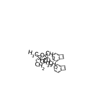 C1=Cc2ccccc21.C1=Cc2ccccc21.C=C[Si](C)(C)O[Si](C)(C)C=C